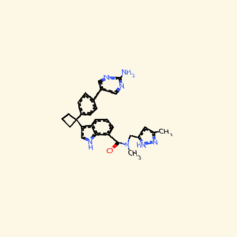 Cc1cc(CN(C)C(=O)c2cccc3c(C4(c5ccc(-c6cnc(N)nc6)cc5)CCC4)c[nH]c23)[nH]n1